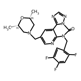 C[C@@H]1CN(Cc2cnc3c(c2)c2ncnn2c(=O)n3Cc2cc(F)c(F)cc2F)C[C@H](C)O1